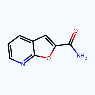 NC(=O)c1cc2cccnc2o1